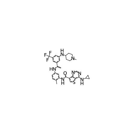 C=C(Nc1ccc(C)c(NC(=O)c2csc3c(NC4CC4)ncnc23)c1)c1cc(NC2CCN(C)CC2)cc(C(F)(F)F)c1